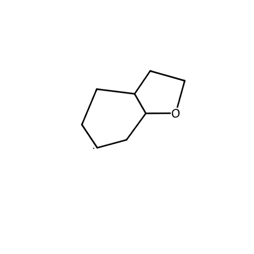 [CH]1CCC2CCOC2C1